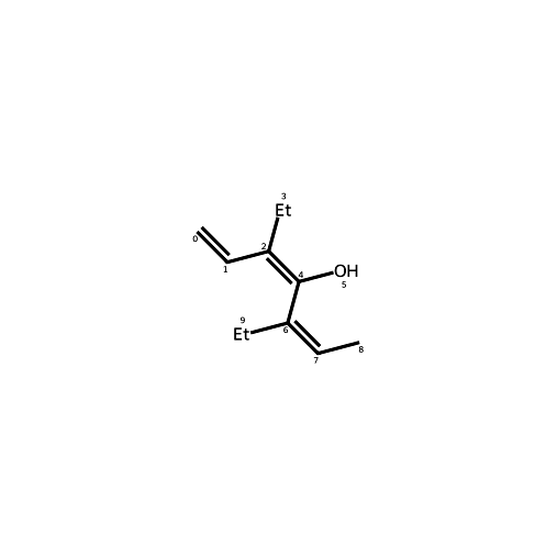 C=C/C(CC)=C(O)\C(=C/C)CC